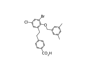 Cc1cc(C)cc(COc2c(Br)cc(Cl)cc2CCc2ccc(C(=O)O)cc2)c1